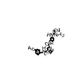 CC(=O)C12CCC(CNC(=O)c3cc(C(=O)NCc4cccc(N/C(N)=N/C#N)c4)nc4c(F)cnn34)(CC1)CC2